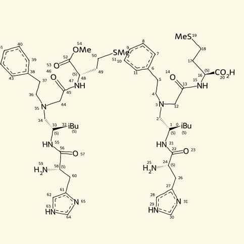 CC[C@H](C)[C@@H](CN(CCc1ccccc1)CC(=O)N[C@@H](CCSC)C(=O)O)NC(=O)[C@@H](N)Cc1c[nH]cn1.CC[C@H](C)[C@@H](CN(CCc1ccccc1)CC(=O)N[C@@H](CCSC)C(=O)OC)NC(=O)[C@@H](N)Cc1c[nH]cn1